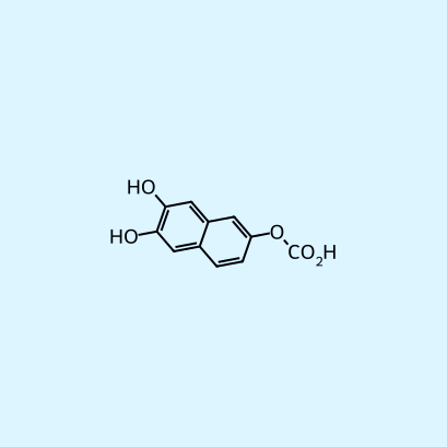 O=C(O)Oc1ccc2cc(O)c(O)cc2c1